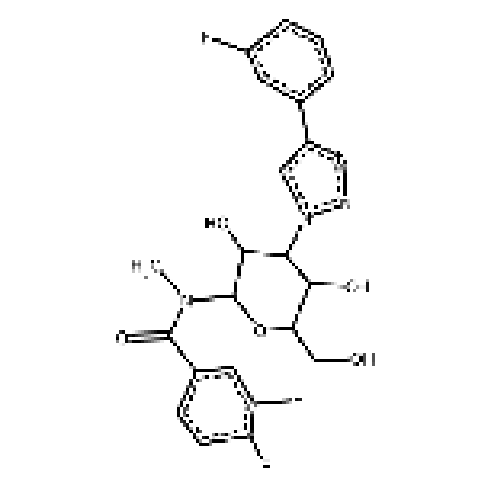 CN(C(=O)c1ccc(F)c(F)c1)C1OC(CO)C(O)C(n2cc(-c3cccc(F)c3)nn2)C1O